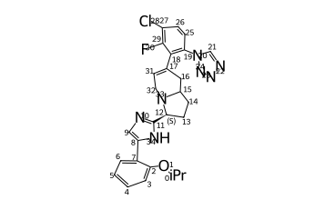 CC(C)Oc1ccccc1-c1cnc([C@@H]2CCC3CC(c4c(-n5cnnn5)ccc(Cl)c4F)=CCN32)[nH]1